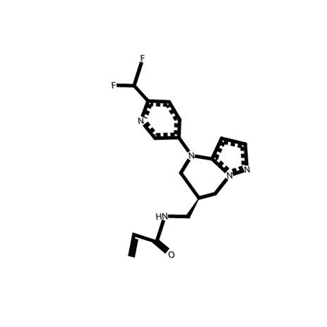 C=CC(=O)NC[C@H]1CN(c2ccc(C(F)F)nc2)c2ccnn2C1